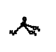 CCCCCCC[CH2][Sn]([CH2]CCCCCCC)([CH2]CCCCCCC)[O]Cc1ccccc1